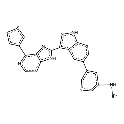 CC(C)Nc1cncc(-c2ccc3[nH]nc(-c4nc5c(-c6ccsc6)nccc5[nH]4)c3c2)c1